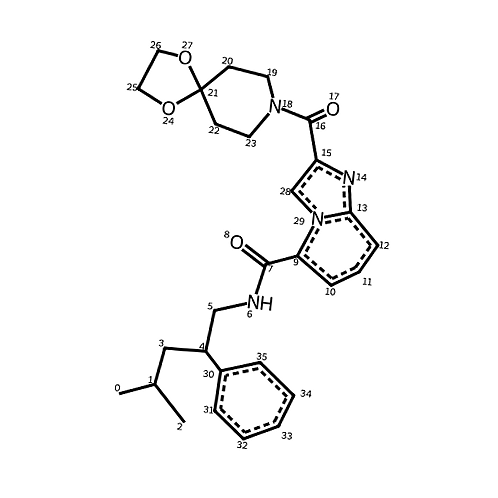 CC(C)CC(CNC(=O)c1cccc2nc(C(=O)N3CCC4(CC3)OCCO4)cn12)c1ccccc1